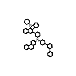 c1ccc(-c2cccc(-c3ccc(N(c4cccc(-c5cc6ccccc6c6c5c5ccccc5n6C5CCCCC5)c4)c4ccc5c(ccc6ccccc65)c4)cc3)c2)cc1